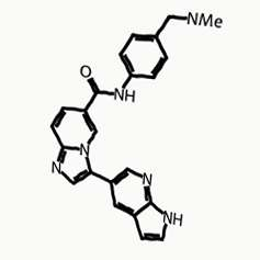 CNCc1ccc(NC(=O)c2ccc3ncc(-c4cnc5[nH]ccc5c4)n3c2)cc1